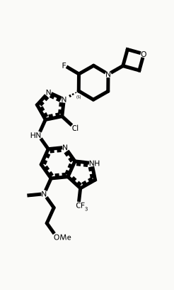 COCCN(C)c1cc(Nc2cnn([C@H]3CCN(C4COC4)CC3F)c2Cl)nc2[nH]cc(C(F)(F)F)c12